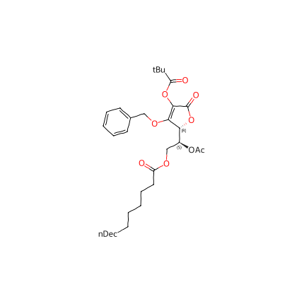 CCCCCCCCCCCCCCCC(=O)OC[C@H](OC(C)=O)[C@H]1OC(=O)C(OC(=O)C(C)(C)C)=C1OCc1ccccc1